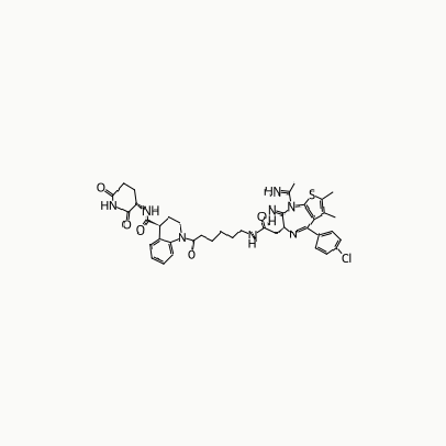 CC(=N)N1C(=N)[C@H](CC(=O)NCCCCCC(=O)N2CC[C@H](C(=O)N[C@@H]3CCC(=O)NC3=O)c3ccccc32)N=C(c2ccc(Cl)cc2)c2c1sc(C)c2C